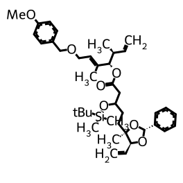 C=C[C@@H]1O[C@@H](c2ccccc2)O[C@]1(C)CCC(CC(=O)O[C@H](/C(C)=C/COCc1ccc(OC)cc1)[C@@H](C)C=C)O[Si](C)(C)C(C)(C)C